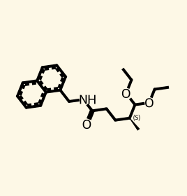 CCOC(OCC)[C@@H](C)CCC(=O)NCc1cccc2ccccc12